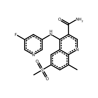 Cc1cc(S(C)(=O)=O)cc2c(Nc3cncc(F)c3)c(C(N)=O)cnc12